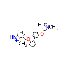 Cc1n[nH]c(C)c1CCOc1ccccc1-c1cccc(OCCN(C)C)c1